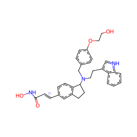 O=C(/C=C/c1ccc2c(c1)CCC2N(CCc1c[nH]c2ccccc12)Cc1ccc(OCCO)cc1)NO